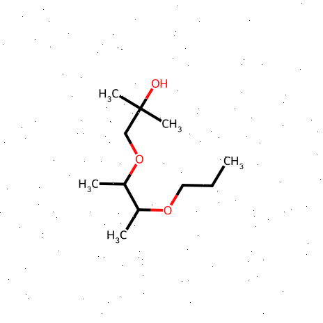 CCCOC(C)C(C)OCC(C)(C)O